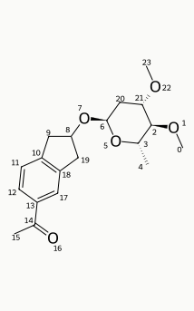 CO[C@H]1[C@H](C)O[C@@H](OC2Cc3ccc(C(C)=O)cc3C2)C[C@@H]1OC